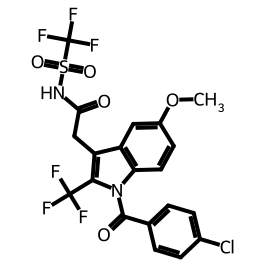 COc1ccc2c(c1)c(CC(=O)NS(=O)(=O)C(F)(F)F)c(C(F)(F)F)n2C(=O)c1ccc(Cl)cc1